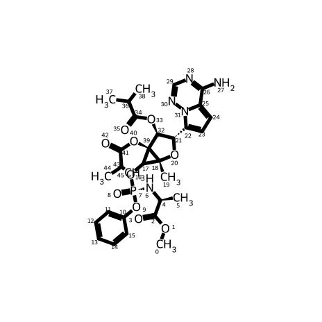 COC(=O)[C@H](C)N[P@@](=O)(Oc1ccccc1)OC1[C@@]2(C)O[C@@H](c3ccc4c(N)ncnn34)[C@H](OC(=O)C(C)C)[C@@]12OC(=O)C(C)C